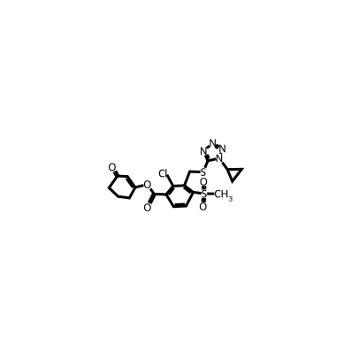 CS(=O)(=O)c1ccc(C(=O)OC2=CC(=O)CCC2)c(Cl)c1CSc1nnnn1C1CC1